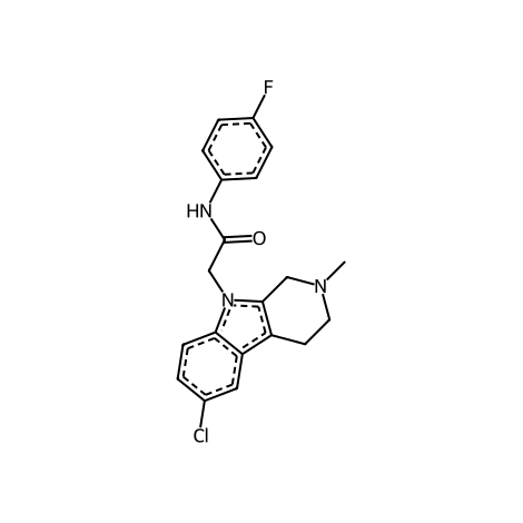 CN1CCc2c(n(CC(=O)Nc3ccc(F)cc3)c3ccc(Cl)cc23)C1